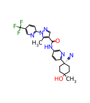 Cc1c(C(=O)Nc2ccc([C@]3(C#N)CC[C@@](C)(O)CC3)nc2)cnn1-c1ccc(C(F)(F)F)cn1